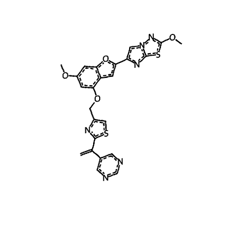 C=C(c1cncnc1)c1nc(COc2cc(OC)cc3oc(-c4cn5nc(OC)sc5n4)cc23)cs1